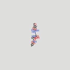 Cc1ccc(S(=O)(=O)NCC(=O)C2CCC[C@H]2C(=O)N[C@@H](CCCNC(=N)NS(=O)(=O)c2c(C)c(C)c3c(c2C)CC(C)(C)O3)C(=O)O)cc1